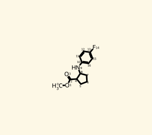 COC(=O)C1CCCC1Nc1ccc(F)cc1